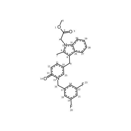 COC(=O)Cn1c(C)c(Cc2ccc(=O)n(Cc3cc(F)cc(F)c3)c2)c2ccccc21